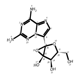 Nc1nc(N)c2ncc([C@]34O[C@H](CO)[C@@H](O)[C@]3(O)O4)n2n1